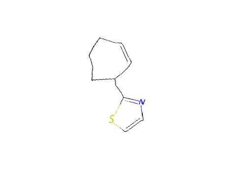 C1=CC(c2nccs2)CCC1